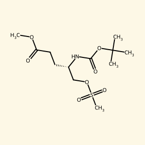 COC(=O)CC[C@@H](COS(C)(=O)=O)NC(=O)OC(C)(C)C